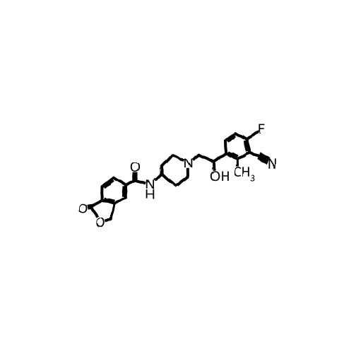 Cc1c(C(O)CN2CCC(NC(=O)c3ccc4c(c3)COC4=O)CC2)ccc(F)c1C#N